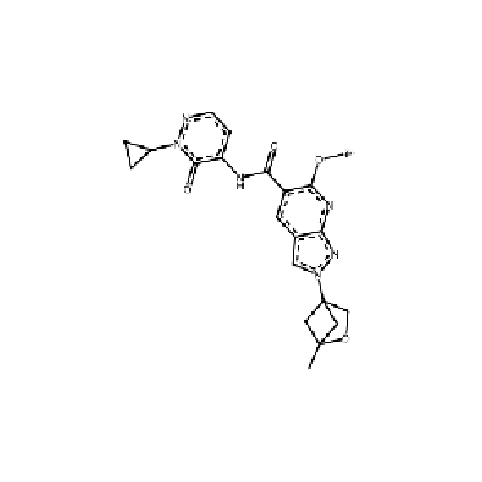 CC(C)Oc1nc2nn(C34COC(C)(C3)C4)cc2cc1C(=O)Nc1ccnn(C2CC2)c1=O